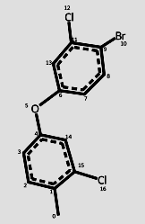 Cc1ccc(Oc2ccc(Br)c(Cl)c2)cc1Cl